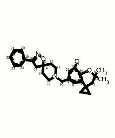 CC1(C)CC2(CC2)c2cc(CN3CCC4(CC3)CC(c3ccccc3)=NO4)cc(Cl)c2O1